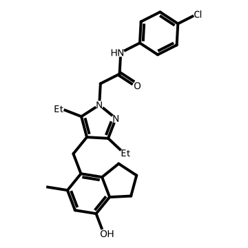 CCc1nn(CC(=O)Nc2ccc(Cl)cc2)c(CC)c1Cc1c(C)cc(O)c2c1CCC2